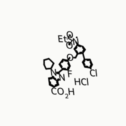 CCS(=O)(=O)N(C)c1ccc(-c2ccc(Cl)cc2)c(COc2ccc(-c3nc4cc(C(=O)O)ccc4n3C3CCCCC3)c(F)c2)c1.Cl